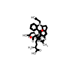 C#CCN(c1ccccc1C(=O)N(C)[C@@](CCC(=O)O)(C(=O)O)C(=O)CC[C@H](N)C(=O)O)C1CCc2cc3nc(C)[nH]c(=O)c3cc21